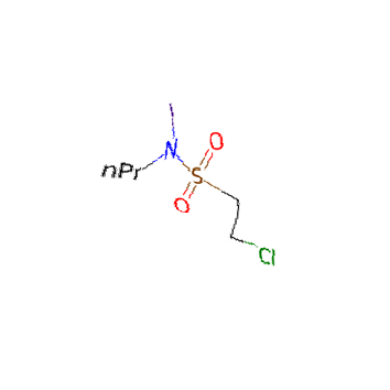 CCCN(I)S(=O)(=O)CCCl